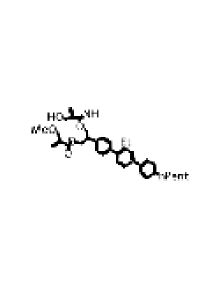 C=C(CO)C(=N)OCC(COC(=O)C(=C)COC)c1ccc(-c2ccc(-c3ccc(CCCCC)cc3)cc2CC)cc1